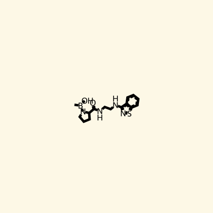 CB(O)N1CCCC1C(=O)NCCNc1nsc2ccccc12